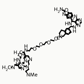 C=CNCC(/C=N\CN(CC/N=C\C(=C/N=C)C(=C)NCCOCCOCCOCCOCN1CCc2cc(CNc3ncnc(N)c3C(=N)c3ccc4oc(N)nc4c3)ccc2C1)CCNC)=C/N=C